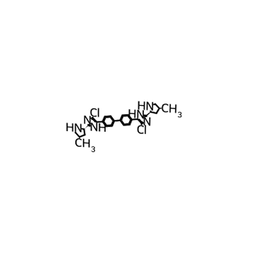 C[C@@H]1CN[C@H](c2nc(Cl)c(-c3ccc(-c4ccc(-c5[nH]c([C@@H]6C[C@H](C)CN6)nc5Cl)cc4)cc3)[nH]2)C1